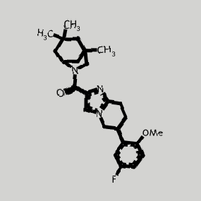 COc1ccc(F)cc1C1CCc2nc(C(=O)N3CC4(C)CC3CC(C)(C)C4)cn2C1